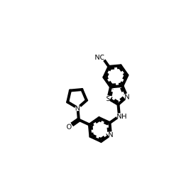 N#Cc1ccc2nc(Nc3cc(C(=O)N4CCCC4)ccn3)sc2c1